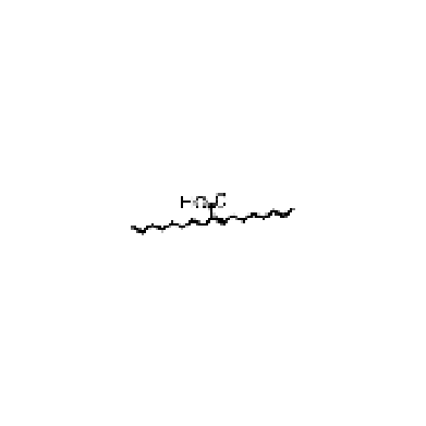 CCCCCCCC=C(CCCCCCCC)C(=O)O